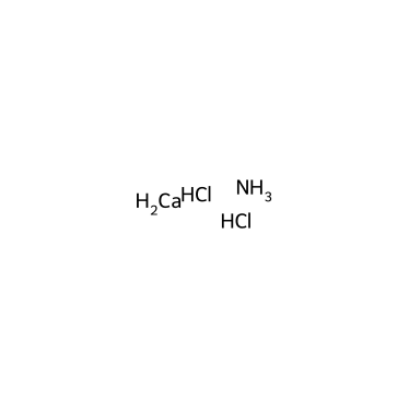 Cl.Cl.N.[CaH2]